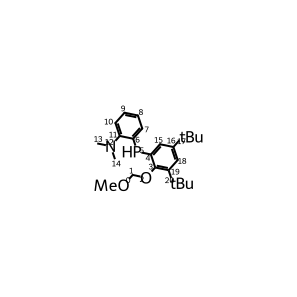 COCOc1c(Pc2ccccc2N(C)C)cc(C(C)(C)C)cc1C(C)(C)C